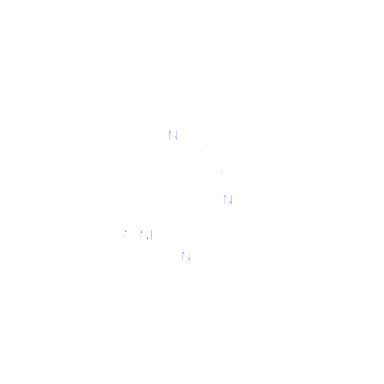 CC(=O)Nc1ncc(CN2C[C@H](Oc3ccc4sccc4n3)C[C@@H]2C)s1